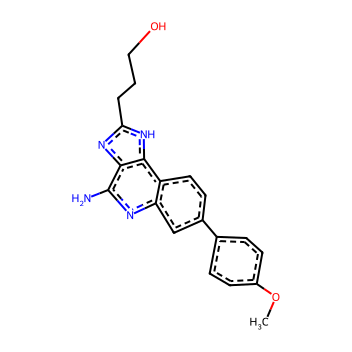 COc1ccc(-c2ccc3c(c2)nc(N)c2nc(CCCO)[nH]c23)cc1